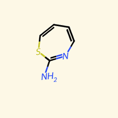 NC1=NC=CC=CS1